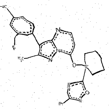 Cc1nn2c(O[N+]3(c4nc(C(C)C)no4)CCCCC3)ccnc2c1-c1ccc(C#N)cc1F